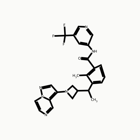 Cc1c(C(=O)Nc2cncc(C(F)(F)F)c2)cccc1C(C)C1CN(c2cnn3ccncc23)C1